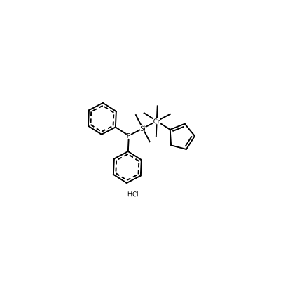 C[Si](C)(P(c1ccccc1)c1ccccc1)[Cr]([CH3])([CH3])([CH3])([CH3])[C]1=CC=CC1.Cl